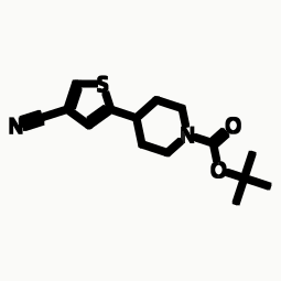 CC(C)(C)OC(=O)N1CCC(c2cc(C#N)cs2)CC1